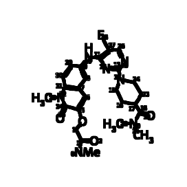 CNC(=O)COc1cc2cc(Nc3nc(N4CCC(C(=O)N(C)C)CC4)ncc3F)ccc2n(C)c1=O